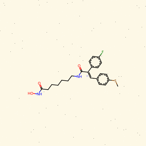 CSc1ccc(/C=C(/C(=O)NCCCCCCC(=O)NO)c2ccc(F)cc2)cc1